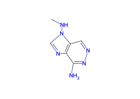 CNn1cnc2c(N)nncc21